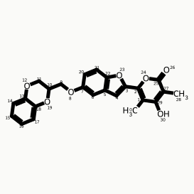 Cc1c(-c2cc3cc(OCC4COc5ccccc5O4)ccc3o2)oc(=O)c(C)c1O